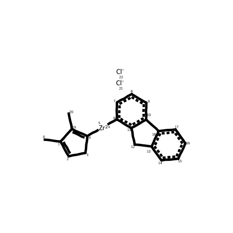 CC1=CC[C]([Zr+2][c]2cccc3c2Cc2ccccc2-3)=C1C.[Cl-].[Cl-]